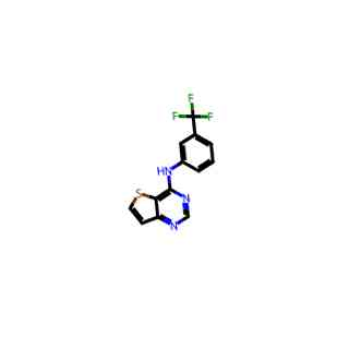 FC(F)(F)c1cccc(Nc2ncnc3ccsc23)c1